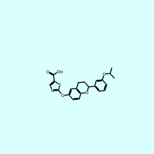 CC(C)Oc1cccc(C2CCc3cc(Oc4ncc(C(=O)O)s4)ccc3O2)c1